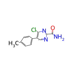 Cc1ccc(-c2[c]nc(C(N)=O)nc2Cl)cc1